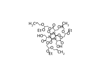 C=CCOC(COC(=O)C(CO)n1c(=O)n(C(CO)C(=O)OCC(OCC)OCC=C)c(=O)n(C(CO)C(=O)OCC(OCC)OCC=C)c1=O)OCC